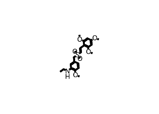 CCNc1cc(CS(=O)(=O)/C=C/c2c(OC)cc(OC)cc2OC)ccc1OC